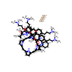 Br.Br.Br.Br.C=C(C)C(=O)Nc1c(CCCN(C)C)cccc1-c1c(-c2cccc(CCCN(C)C)c2NC(=O)C(=C)C)c2c(-c3cccc(CCCN(C)C)c3NC(=O)C(=C)C)c3nc(cc4ccc(cc5nc(cc1n2-c1cccc(CCCN(C)C)c1NC(=O)C(=C)C)C=C5)[nH]4)C=C3C1CCCCC1